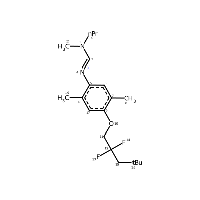 CCCN(C)/C=N/c1cc(C)c(OCC(F)(F)CC(C)(C)C)cc1C